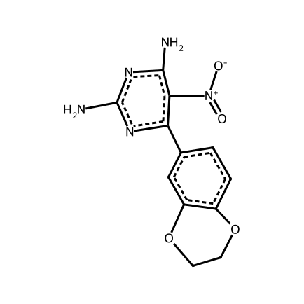 Nc1nc(N)c([N+](=O)[O-])c(-c2ccc3c(c2)OCCO3)n1